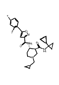 O=C(N[C@H]1CCN(CC2CC2)C[C@@H]1C(=O)NC1(C2CC2)CC1)c1cc(-c2ccc(F)cc2F)on1